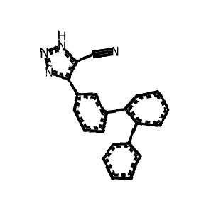 N#Cc1[nH]nnc1-c1cccc(-c2ccccc2-c2ccccc2)c1